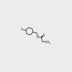 CSC(=S)OCC1CCC(F)CC1